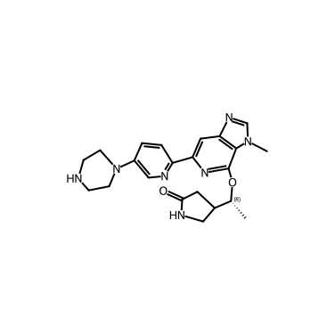 C[C@@H](Oc1nc(-c2ccc(N3CCNCC3)cn2)cc2ncn(C)c12)C1CNC(=O)C1